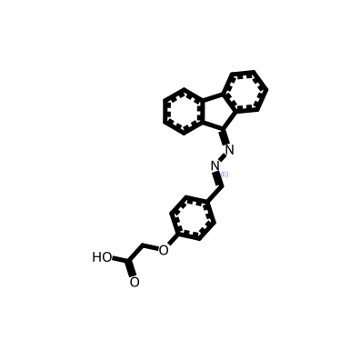 O=C(O)COc1ccc(/C=N/N=C2c3ccccc3-c3ccccc32)cc1